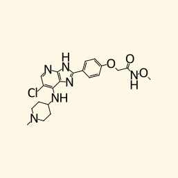 CONC(=O)COc1ccc(-c2nc3c(NC4CCN(C)CC4)c(Cl)cnc3[nH]2)cc1